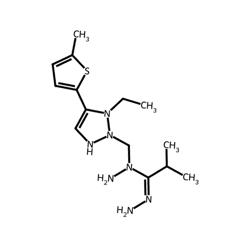 CCN1C(c2ccc(C)s2)=CNN1CN(N)/C(=N\N)C(C)C